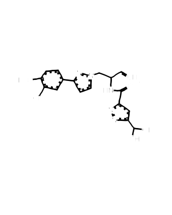 C=CC(Cn1ccc(-c2ccc(C)c(Cl)c2)n1)NC(=O)c1cc(C(C)O)[nH]n1